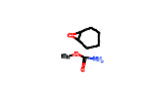 C1CCC2OC2C1.CC(C)(C)OC(N)=O